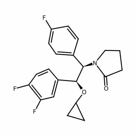 O=C1CCCN1[C@H](c1ccc(F)cc1)[C@@H](OC1CC1)c1ccc(F)c(F)c1